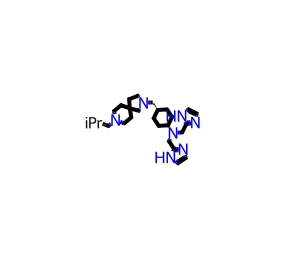 CC(C)CN1CCC2(CC1)CCN(C[C@H]1CC[C@H](N(Cc3ncc[nH]3)Cc3ncc[nH]3)CC1)C2